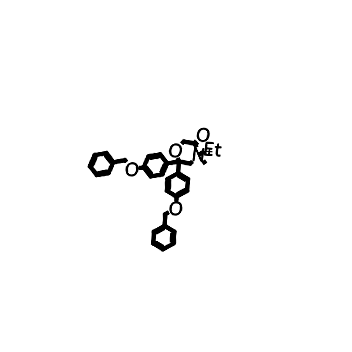 CC[N+]1(C)CC(c2ccc(OCc3ccccc3)cc2)(c2ccc(OCc3ccccc3)cc2)OCC1=O